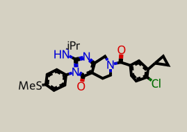 CSc1ccc(-n2c(NC(C)C)nc3c(c2=O)CCN(C(=O)c2ccc(Cl)c(C4CC4)c2)C3)cc1